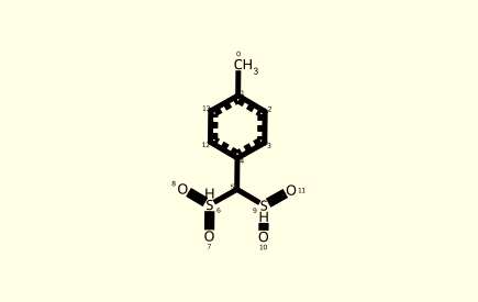 Cc1ccc(C([SH](=O)=O)[SH](=O)=O)cc1